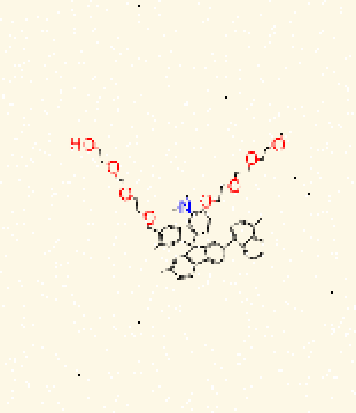 COCCOCCOCCOc1ccc(C2(c3ccc(COCCOCCOCCO)c(C)c3)c3cc(C)ccc3-c3ccc(-c4ccc(C)c5ccccc45)cc32)cc1N(C)C